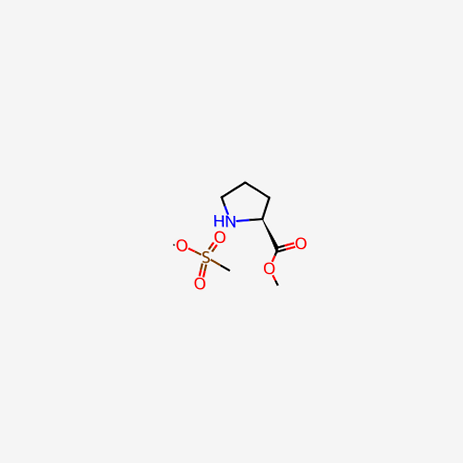 COC(=O)[C@@H]1CCCN1.CS([O])(=O)=O